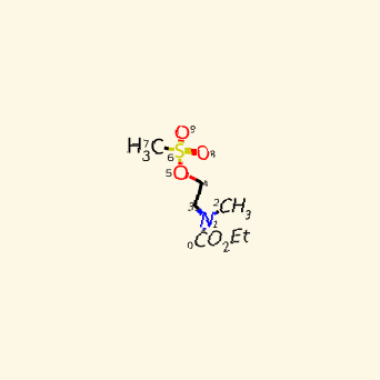 CCOC(=O)N(C)CCOS(C)(=O)=O